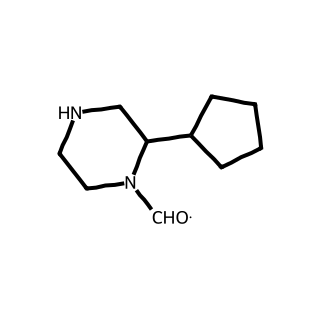 O=[C]N1CCNCC1C1CCCC1